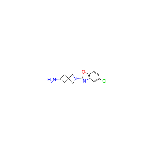 NC1CC2(C1)CN(c1nc3cc(Cl)ccc3o1)C2